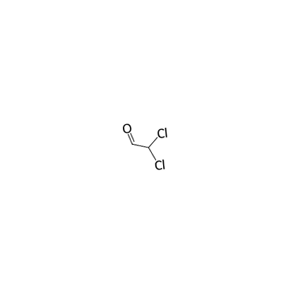 O=CC(Cl)Cl